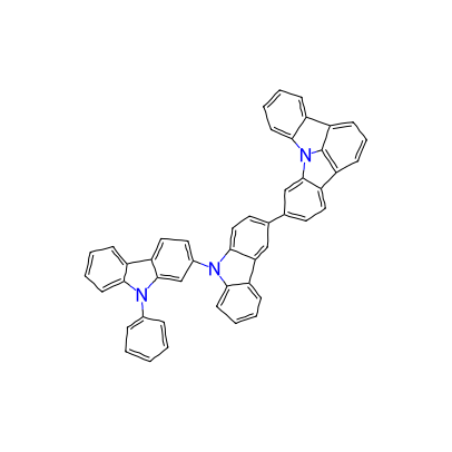 c1ccc(-n2c3ccccc3c3ccc(-n4c5ccccc5c5cc(-c6ccc7c8cccc9c%10ccccc%10n(c7c6)c98)ccc54)cc32)cc1